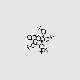 Cc1cc2c3c(c1)N(c1ccc(C(C)(C)C)cc1-c1cccc4ccccc14)c1cc4c(cc1B3c1ccc(C(C)(C)C)cc1N2c1cccc(C(C)(C)C)c1)C(C)(C)CC4(C)C